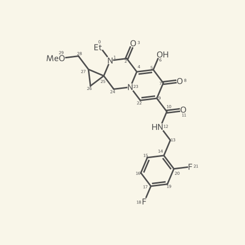 CCN1C(=O)c2c(O)c(=O)c(C(=O)NCc3ccc(F)cc3F)cn2CC12CC2COC